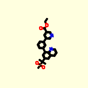 CCOC(=O)c1cncc(-c2cccc(-c3cc(C(C)(C)S(C)(=O)=O)cc4cccnc34)c2)c1